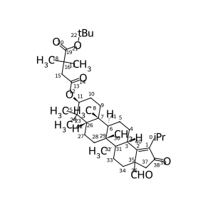 CC(C)C1=C2[C@H]3CC[C@@H]4[C@@]5(C)CC[C@H](OC(=O)CC(C)(C)C(=O)OC(C)(C)C)C(C)(C)[C@H]5CC[C@@]4(C)[C@]3(C)CCC2(C=O)CC1=O